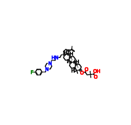 C=C(C)[C@@H]1CC[C@]2(CCNCCN3CCN(Cc4ccc(F)cc4)CC3)CC[C@]3(C)[C@H](CC[C@@H]4[C@@]5(C)CC[C@H](OC(=O)CC(C)(C)C(=O)O)C(C)(C)[C@@H]5CC[C@]43C)[C@@H]12